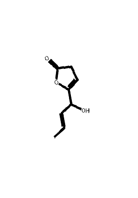 CC=CC(O)C1=CCC(=O)O1